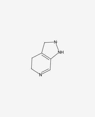 C1=NCCC2=C1N[N]C2